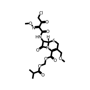 COCC1=C(C(=O)OCOC(=O)C(C)C)N2C(=O)C(NC(=O)C(=NOC)C(=O)CCl)[C@@H]2SC1